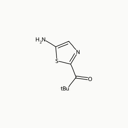 CC(C)(C)C(=O)c1ncc(N)s1